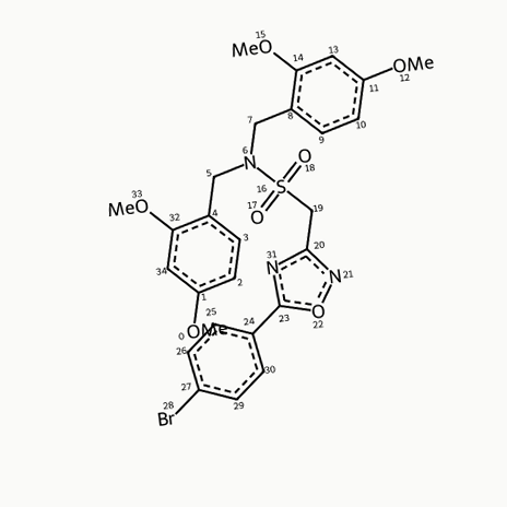 COc1ccc(CN(Cc2ccc(OC)cc2OC)S(=O)(=O)Cc2noc(-c3ccc(Br)cc3)n2)c(OC)c1